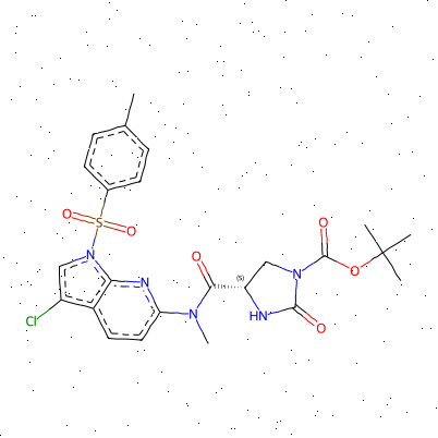 Cc1ccc(S(=O)(=O)n2cc(Cl)c3ccc(N(C)C(=O)[C@@H]4CN(C(=O)OC(C)(C)C)C(=O)N4)nc32)cc1